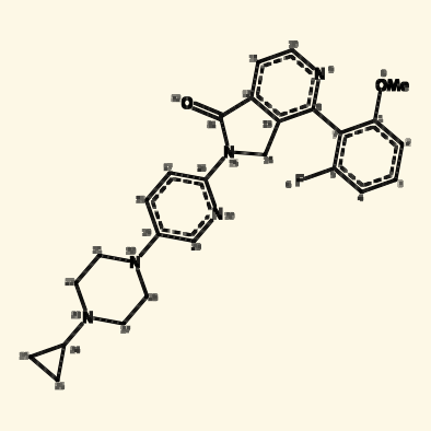 COc1cccc(F)c1-c1nccc2c1CN(c1ccc(N3CCN(C4CC4)CC3)cn1)C2=O